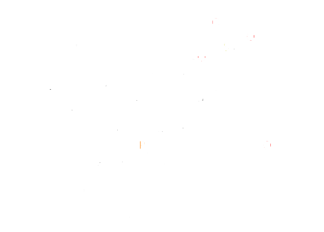 COc1ccc(S(=O)(=O)[O-])cc1.C[P+](/C=C/c1ccccc1)(c1ccccc1)c1ccccc1